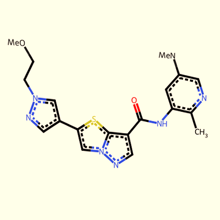 CNc1cnc(C)c(NC(=O)c2cnn3cc(-c4cnn(CCOC)c4)sc23)c1